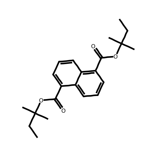 CCC(C)(C)OC(=O)c1cccc2c(C(=O)OC(C)(C)CC)cccc12